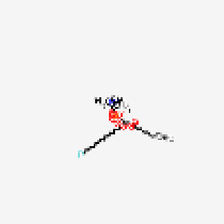 CCCCCCCCCCCCCCCC(=O)OC[C@H](COP(=O)([O-])OCC[N+](C)(C)C)OC(=O)CCCCCCCCCCCCCCCF